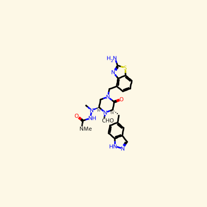 CNC(=O)NN(C)[C@H]1CN(Cc2cccc3sc(N)nc23)C(=O)[C@H](Cc2ccc3[nH]ncc3c2)N1C=O